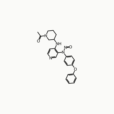 CC(=O)N1CCCC(Nc2ccncc2N(N=O)c2ccc(Oc3ccccc3)cc2)C1